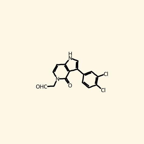 O=CCn1ccc2[nH]cc(-c3ccc(Cl)c(Cl)c3)c2c1=O